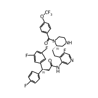 O=C(C[C@@H](c1ccc(F)cc1)c1cc(F)cc(F)c1)Nc1cncc(F)c1CC[C@H]1CNCCN1C(=O)c1ccc(OC(F)(F)F)cc1